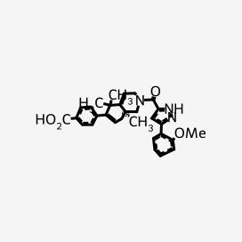 COc1ccccc1-c1cc(C(=O)N2CC=C3C(C)(C)C(c4ccc(C(=O)O)cc4)=CC[C@]3(C)C2)[nH]n1